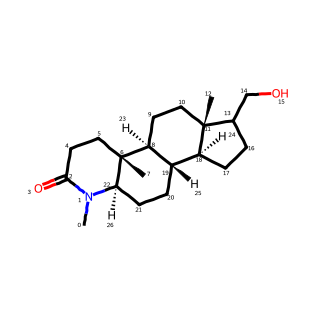 CN1C(=O)CC[C@]2(C)[C@H]3CC[C@]4(C)C(CO)CC[C@H]4[C@@H]3CC[C@@H]12